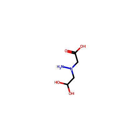 NN(CC(=O)O)CC(O)O